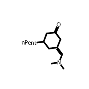 CCCCCC1CC(=O)CC(=CN(C)C)C1